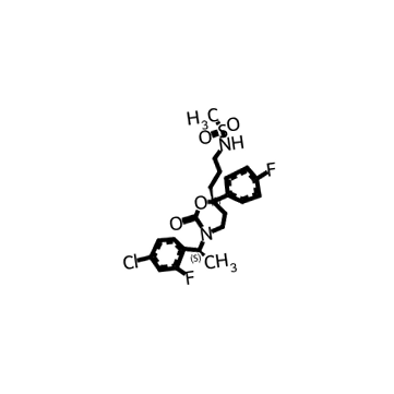 C[C@@H](c1ccc(Cl)cc1F)N1CC[C@@](CCCNS(C)(=O)=O)(c2ccc(F)cc2)OC1=O